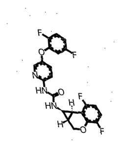 O=C(Nc1ccc(Oc2cc(F)ccc2F)cn1)N[C@@H]1[C@H]2COc3c(F)ccc(F)c3[C@@H]21